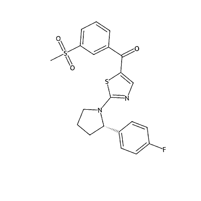 CS(=O)(=O)c1cccc(C(=O)c2cnc(N3CCC[C@H]3c3ccc(F)cc3)s2)c1